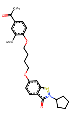 COC(=O)c1ccc(OCCCCOc2ccc3c(=O)n(C4CCCC4)sc3c2)c(OC)c1